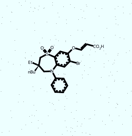 CCCC[C@]1(CC)CN(c2ccccc2)c2cc(Br)c(O/C=C/C(=O)O)cc2S(=O)(=O)C1